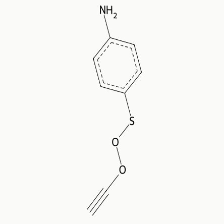 C#COOSc1ccc(N)cc1